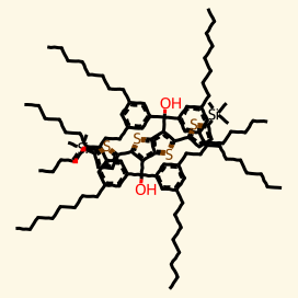 CCCCCCCCc1cc(CCCCCCCC)cc(C(O)(c2cc(CCCCCCCC)cc(CCCCCCCC)c2)c2c(-c3ccc([Si](C)(C)C)s3)sc3c(C(O)(c4cc(CCCCCCCC)cc(CCCCCCCC)c4)c4cc(CCCCCCCC)cc(CCCCCCCC)c4)c(-c4ccc([Si](C)(C)C)s4)sc23)c1